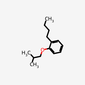 CCCCc1ccccc1OCC(C)C